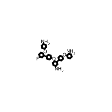 Nc1ccc(Oc2ccc(F)cc2-c2ccc(Oc3ccc(N)cc3-c3ccc(Oc4ccccc4N)cc3)cc2)cc1